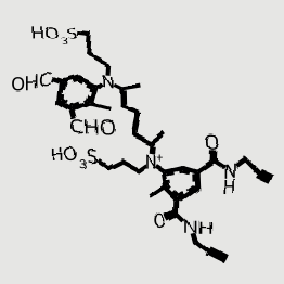 C#CCNC(=O)c1cc(C(=O)NCC#C)c(C)c(/[N+](CCCS(=O)(=O)O)=C(C)/C=C/C=C(\C)N(CCCS(=O)(=O)O)c2cc(C=O)cc(C=O)c2C)c1